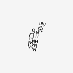 Cc1ccc(C(=O)Nc2cc(C(C)(C)C)nn2C)cc1Nc1ncnc2cncnc12